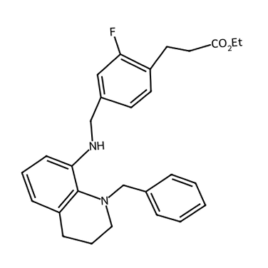 CCOC(=O)CCc1ccc(CNc2cccc3c2N(Cc2ccccc2)CCC3)cc1F